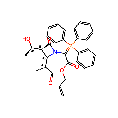 C=CCOC(=O)C(N1C(=O)[C@H]([C@@H](C)O)[C@H]1[C@@H](C)C=O)=P(c1ccccc1)(c1ccccc1)c1ccccc1